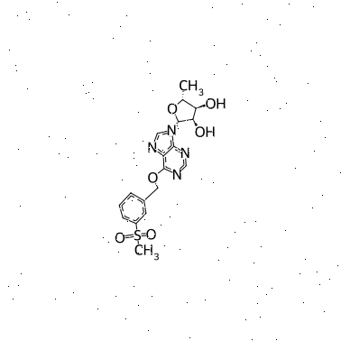 C[C@H]1O[C@@H](n2cnc3c(OCc4cccc(S(C)(=O)=O)c4)ncnc32)[C@H](O)[C@@H]1O